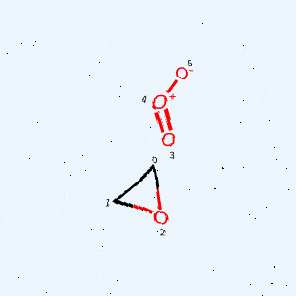 C1CO1.O=[O+][O-]